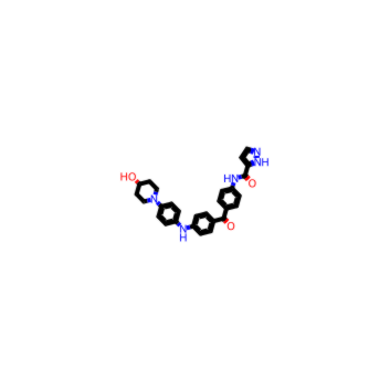 O=C(c1ccc(NC(=O)c2ccn[nH]2)cc1)c1ccc(Nc2ccc(N3CCC(O)CC3)cc2)cc1